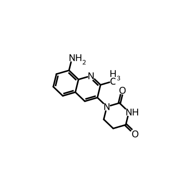 Cc1nc2c(N)cccc2cc1N1CCC(=O)NC1=O